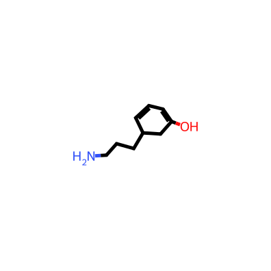 NCCCC1C=CC=C(O)C1